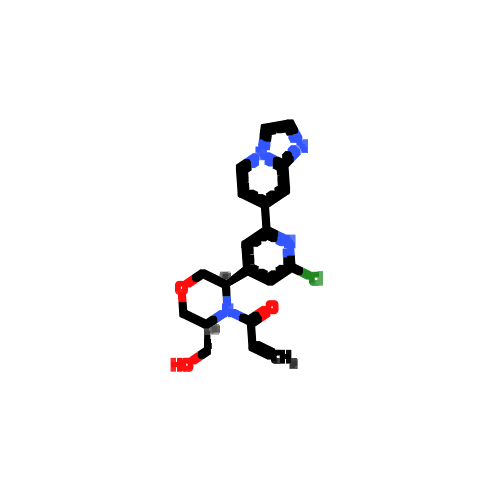 C=CC(=O)N1[C@H](CO)COC[C@H]1c1cc(Cl)nc(-c2ccn3ccnc3c2)c1